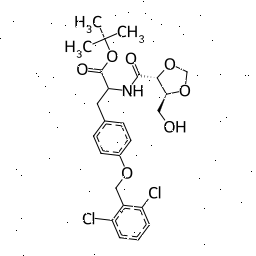 CC(C)(C)OC(=O)C(Cc1ccc(OCc2c(Cl)cccc2Cl)cc1)NC(=O)[C@@H]1OCO[C@H]1CO